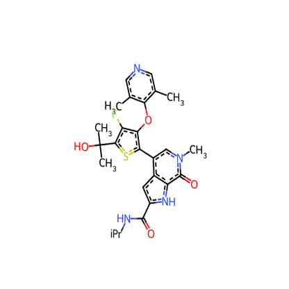 Cc1cncc(C)c1Oc1c(-c2cn(C)c(=O)c3[nH]c(C(=O)NC(C)C)cc23)sc(C(C)(C)O)c1F